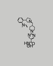 C=CN(C)c1ccccc1C1CCN(CC2CCN(c3ncc(C(=O)NO)cn3)CC2)C1